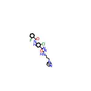 O=C(Nc1ccc(-c2nnc(NCCCN3CCN4CCC3CC4)o2)c(Cl)c1)c1ccccc1F